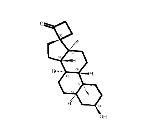 C[C@]12CC[C@@H](O)C[C@H]1CC[C@@H]1[C@@H]2CC[C@@]2(C)[C@H]1CC[C@@]21CCC1=O